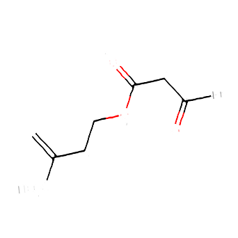 C=C(CCOC(=O)CC(=O)CC)C(=O)O